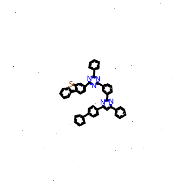 c1ccc(-c2ccc(-c3cc(-c4ccccc4)nc(-c4cccc(-c5nc(-c6ccccc6)nc(-c6ccc7c(c6)sc6ccccc67)n5)c4)n3)cc2)cc1